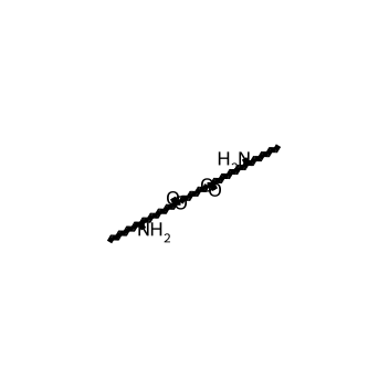 CCCCCCCCC(N)CCCCCCCCC(=O)OCCCCCCOC(=O)CCCCCCCCC(N)CCCCCCCC